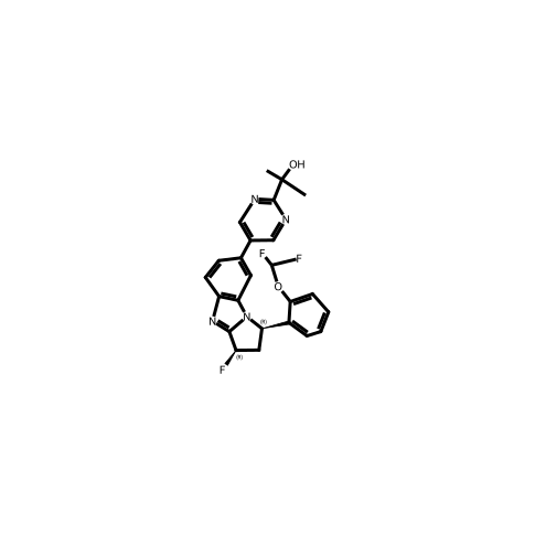 CC(C)(O)c1ncc(-c2ccc3nc4n(c3c2)[C@@H](c2ccccc2OC(F)F)C[C@H]4F)cn1